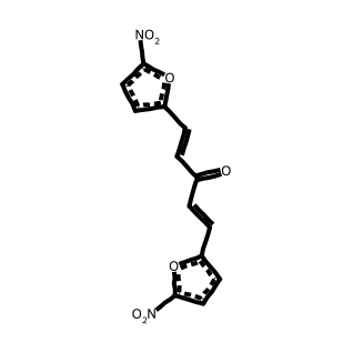 O=C(/C=C/c1ccc([N+](=O)[O-])o1)/C=C/c1ccc([N+](=O)[O-])o1